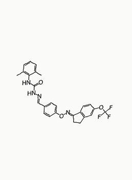 Cc1cccc(C)c1NC(=O)NN=Cc1ccc(ON=C2CCc3cc(OC(F)(F)F)ccc32)cc1